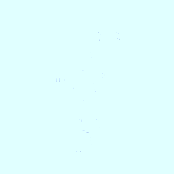 O=C1OC(c2ccc(CO)cc2)CC(O)=C1SCCc1ccccc1